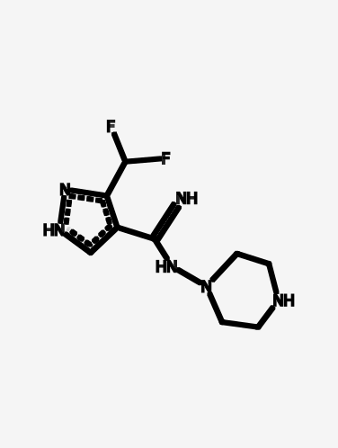 N=C(NN1CCNCC1)c1c[nH]nc1C(F)F